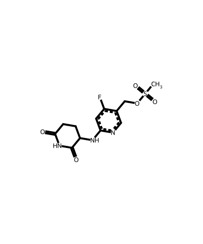 CS(=O)(=O)OCc1cnc(NC2CCC(=O)NC2=O)cc1F